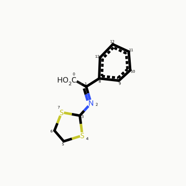 O=C(O)C(=NC1SCCS1)c1ccccc1